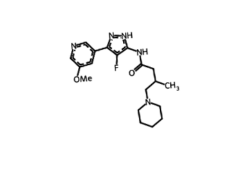 COc1cncc(-c2n[nH]c(NC(=O)CC(C)CN3CCCCC3)c2F)c1